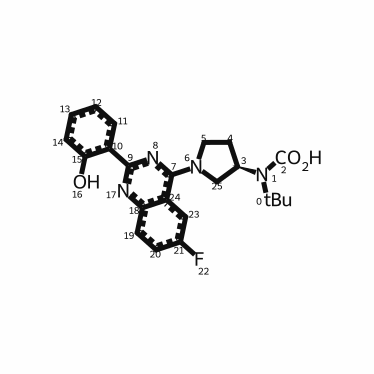 CC(C)(C)N(C(=O)O)[C@@H]1CCN(c2nc(-c3ccccc3O)nc3ccc(F)cc23)C1